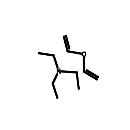 C=COC=C.CCN(CC)CC